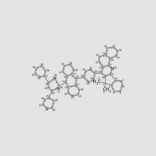 CC1(C)c2ccccc2-c2nc3c(ccc4ccccc43)c(-c3ccc(-c4c5ccccc5c(-c5nc(-c6ccccc6)cc(-c6ccccc6)n5)c5ccccc45)cc3)c21